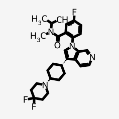 CC(C)N(C)C(=O)c1cc(F)ccc1-n1cc([C@H]2CC[C@@H](N3CCC(F)(F)CC3)CC2)c2ccncc21